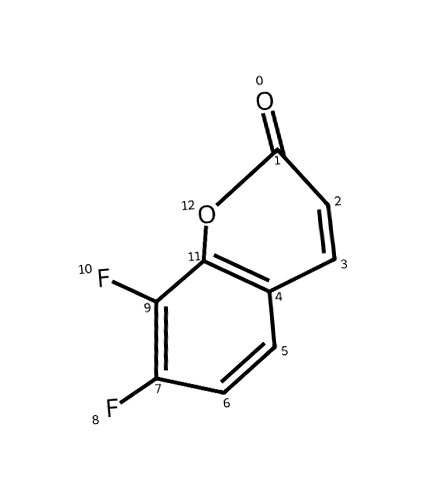 O=c1ccc2ccc(F)c(F)c2o1